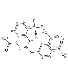 O=C(O)CCN(Cc1ccc(C(=O)O)c(C(=O)O)c1)Cc1ccccc1C(F)(F)F